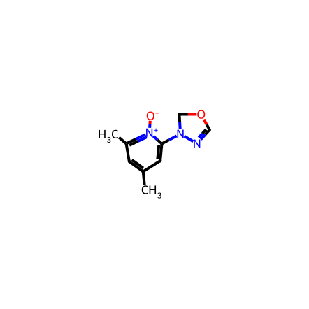 Cc1cc(C)[n+]([O-])c(N2COC=N2)c1